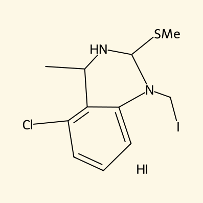 CSC1NC(C)c2c(Cl)cccc2N1CI.I